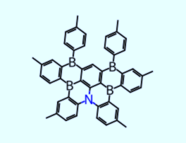 Cc1ccc(B2c3cc(C)ccc3B3c4cc(C)ccc4N4c5ccc(C)cc5B5c6ccc(C)cc6B(c6ccc(C)cc6)c6cc2c3c4c65)cc1